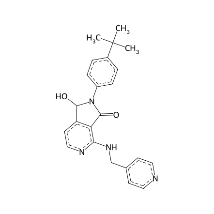 CC(C)(C)c1ccc(N2C(=O)c3c(ccnc3NCc3ccncc3)C2O)cc1